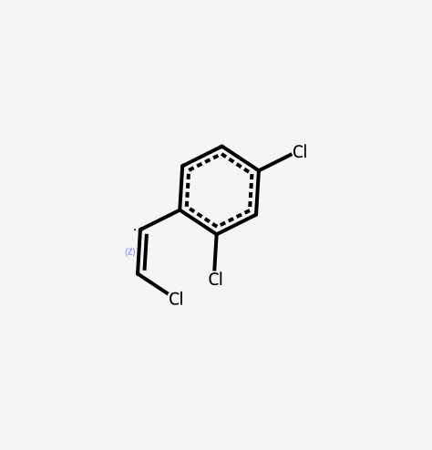 Cl/C=[C]\c1ccc(Cl)cc1Cl